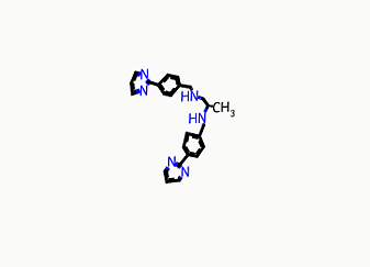 C[C@H](CNCc1ccc(-c2ncccn2)cc1)NCc1ccc(-c2ncccn2)cc1